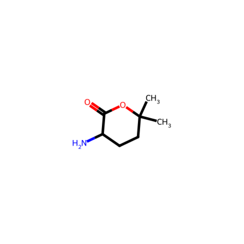 CC1(C)CCC(N)C(=O)O1